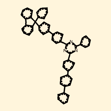 c1ccc(-c2ccc(-c3ccc(-c4nc(-c5ccccc5)nc(-c5ccc(-c6ccc(C7(c8ccccc8)c8ccccc8-c8ccccc87)cc6)cc5)n4)cc3)cc2)cc1